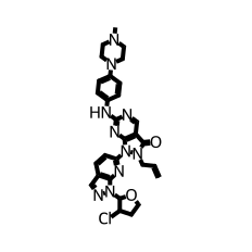 C=CCn1c(=O)c2cnc(Nc3ccc(N4CCN(C)CC4)cc3)nc2n1-c1ccc2cnn(C3OCCC3Cl)c2n1